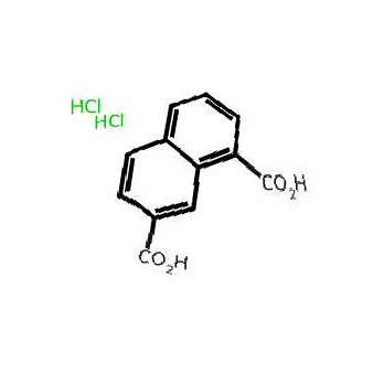 Cl.Cl.O=C(O)c1ccc2cccc(C(=O)O)c2c1